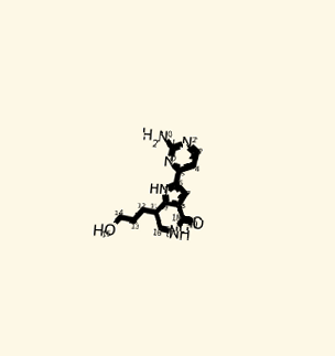 Nc1nccc(-c2cc3c([nH]2)C(CCCO)CNC3=O)n1